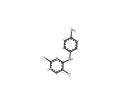 Nc1ccc(Nc2nc(F)ncc2Cl)cc1